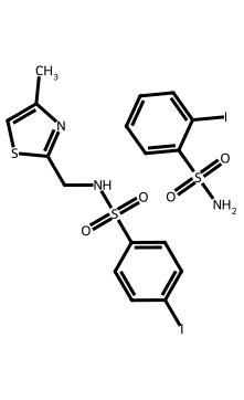 Cc1csc(CNS(=O)(=O)c2ccc(I)cc2)n1.NS(=O)(=O)c1ccccc1I